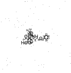 CC(=O)C(NC(=O)[C@H](CCCOCc1ccccc1)NC(=O)OC(C)(C)C)C(=O)O